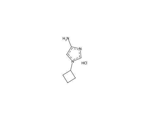 Cl.Nc1cn(C2CCC2)cn1